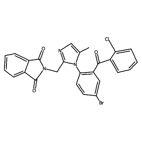 Cc1cnc(CN2C(=O)c3ccccc3C2=O)n1-c1ccc(Br)cc1C(=O)c1ccccc1Cl